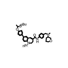 CCCCOC(C)Oc1ccc(-c2ccc3c(c2)C=C(C(=O)Nc2ccc(CN(C)C4CCCOC4)cc2)CCN3CCC)cc1